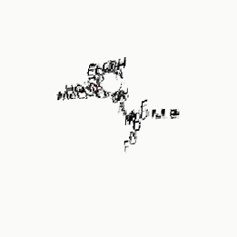 CC[C@H]1OC(=O)[C@H](C)[C@@H](O[C@H]2C[C@@](C)(OC)[C@@H](O)[C@H](C)O2)[C@H](C)[C@@H](O[C@H]2C[C@@H](N(C)CCc3cn([C@H](CF)[C@H](OC)c4ccc(N5CC[C@@H](F)C5)cc4)nn3)C[C@@H](C)O2)[C@](C)(O)C[C@@H](C)CN(C)[C@H](C)[C@@H](O)[C@]1(C)O